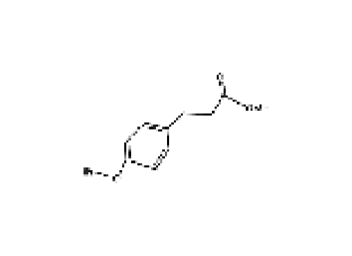 COC(=O)CCc1ccc(OC(C)C)cc1